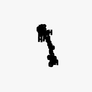 O=C1CCC(N2C(=O)c3ccc(N4CC(CC(=O)N5CCN(C6CCN(c7ccc(Nc8nc(N9c%10cccc%11c%10N(CC%11)S9(=O)=O)c9cc[nH]c9n8)cc7F)CC6)CC5)C4)cc3C2=O)C(=O)N1